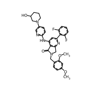 COc1ccc(CN2Cc3nc(-c4c(F)cccc4F)cc(Nc4ccc(N5CCCC(O)C5)cn4)c3C2=O)c(OC)c1